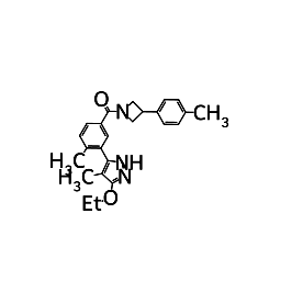 CCOc1n[nH]c(-c2cc(C(=O)N3CC(c4ccc(C)cc4)C3)ccc2C)c1C